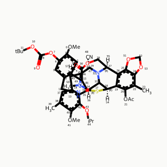 COc1cc2c(cc1OC(=O)OC(C)(C)C)CCN[C@]21CS[C@@H]2c3c(OC(C)=O)c(C)c4c(c3[C@H](COC1=O)N1C2[C@H]2c3c(cc(C)c(OC)c3OC(C)C)C[C@@H]([C@@H]1C#N)N2C)OCO4